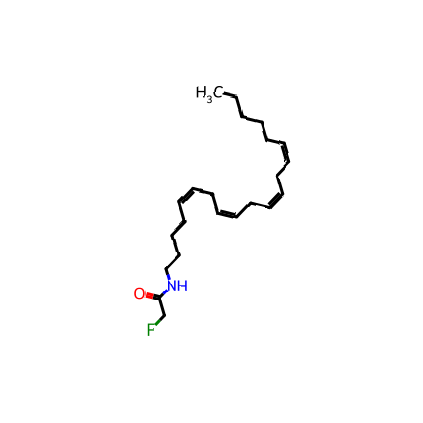 CCCCC/C=C\C/C=C\C/C=C\C/C=C\CCCCNC(=O)CF